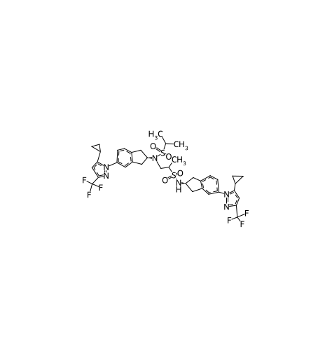 CC(CN([C@@H]1Cc2ccc(-n3nc(C(F)(F)F)cc3C3CC3)cc2C1)S(=O)(=O)C(C)C)S(=O)(=O)N[C@H]1Cc2ccc(-n3nc(C(F)(F)F)cc3C3CC3)cc2C1